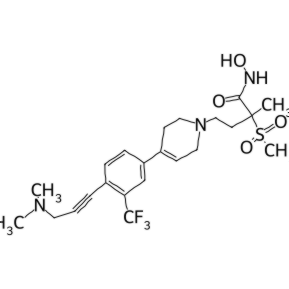 CN(C)CC#Cc1ccc(C2=CCN(CCC(C)(C(=O)NO)S(C)(=O)=O)CC2)cc1C(F)(F)F